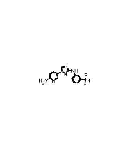 Nc1ccc(-c2csc(Nc3cccc(C(F)(F)F)c3)n2)cn1